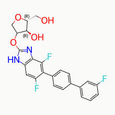 OC[C@H]1OCC(Oc2nc3c(F)c(-c4ccc(-c5cccc(F)c5)cc4)c(F)cc3[nH]2)[C@@H]1O